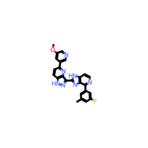 COc1cncc(-c2ccc3[nH]nc(-c4nc5c(-c6cc(C)cc(F)c6)nccc5[nH]4)c3n2)c1